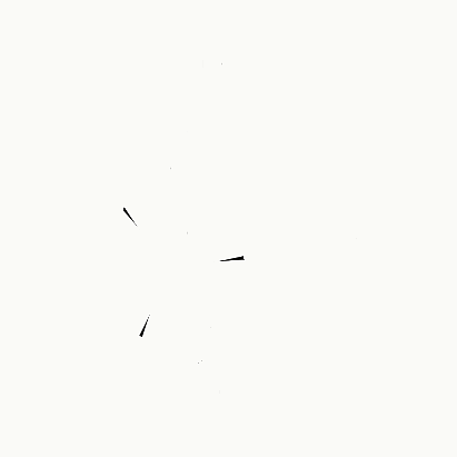 CC[C@H]1O[C@@H](c2ccc(Cl)c(Cc3ccc(O)c(C(C)=O)c3)c2)[C@H](OC(C)=O)[C@@H](C)[C@@H]1C